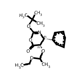 CCOC(C)O[C@@H]1C(=O)OC(OC(C)(C)C)=N[C@@H]1c1ccccc1